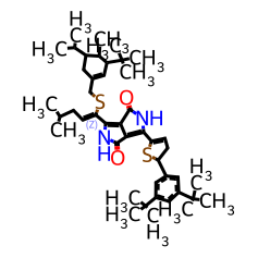 CC(C)C/C=C(\SCC1=CC(C(C)(C)C)C(C)C(C(C)C)C1)C1=C2C(=O)NC(C3=CCC(c4cc(C(C)(C)C)cc(C(C)(C)C)c4)S3)=C2C(=O)N1